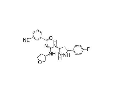 N#Cc1cccc(C(=O)/N=C(\NC2CC(c3ccc(F)cc3)NN2)N[C@@H]2CCOC2)c1